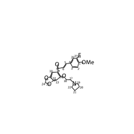 COc1ccc(C=CC(=O)c2cc3c(cc2OCCN2CCCC2)OCO3)cc1F